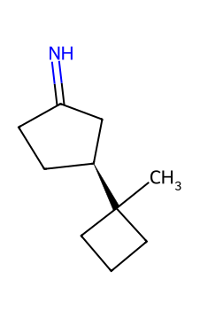 CC1([C@H]2CCC(=N)C2)CCC1